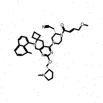 COC/C=C/C(=O)N1CCN(c2nc(OC[C@@H]3CCCN3C)nc3c2CC2(CCC2)N(c2cccc4cccc(C)c24)C3)C[C@@H]1CC#N